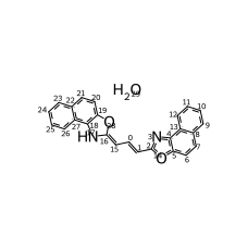 C(=Cc1nc2c(ccc3ccccc32)o1)C=C1Nc2c(ccc3ccccc23)O1.O